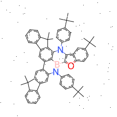 CC(C)(C)c1ccc(N2B3c4oc5ccc(C(C)(C)C)cc5c4N(c4ccc(C(C)(C)C)cc4)c4c3c(cc3c4C(C)(C)c4ccccc4-3)-c3cc4c(cc32)-c2ccccc2C4(C)C)cc1